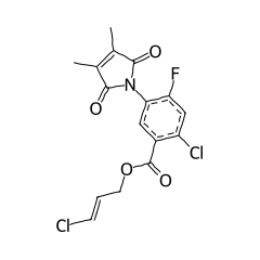 CC1=C(C)C(=O)N(c2cc(C(=O)OCC=CCl)c(Cl)cc2F)C1=O